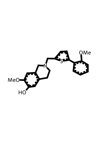 COc1cc2c(cc1O)CCN(Cc1ccc(-c3ccccc3OC)s1)C2